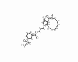 CCc1nn(CCCOC(=O)c2cccc(S(C)(=O)=O)c2)c2c1C(=O)NCCCOCCC2